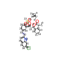 CCC(C(=O)OCC[Si](C)(C)C)c1ccccc1CC[C@@H](OS(C)(=O)=O)c1cccc(/C=C/c2ccc3ccc(Cl)cc3n2)c1